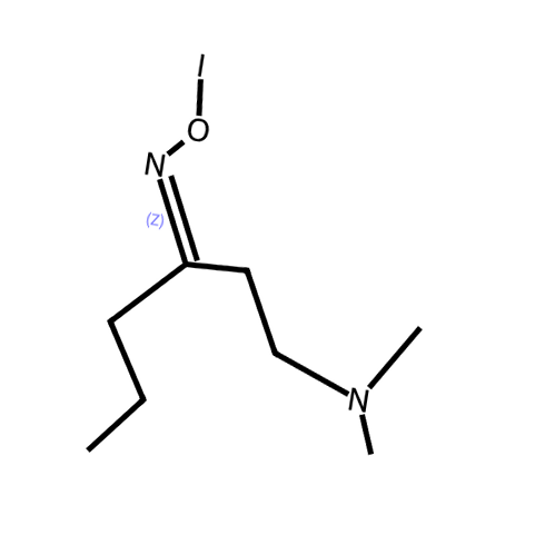 CCC/C(CCN(C)C)=N/OI